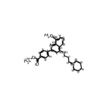 COC(=O)c1ccc(-c2cc(NCCCN3CCCCC3)c3cncc(C)c3n2)cc1